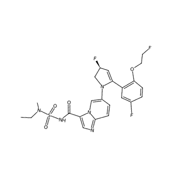 CCN(C)S(=O)(=O)NC(=O)c1cnc2ccc(N3C[C@@H](F)C=C3c3cc(F)ccc3OCCF)cn12